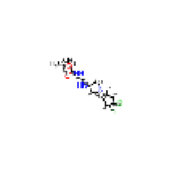 CC(C)(C)OC(=O)NCCNC1CCN(Cc2ccc(Cl)c(Cl)c2)CC1